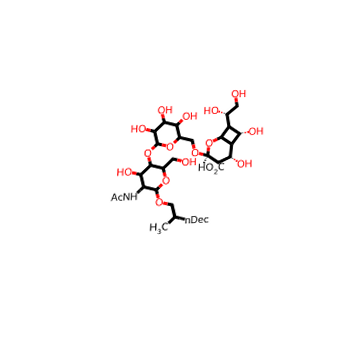 CCCCCCCCCCC(C)COC1OC(CO)C(OC2OC(CO[C@]3(C(=O)O)C[C@@H](O)C4C(O3)C([C@H](O)CO)[C@@H]4O)C(O)C(O)C2O)C(O)C1NC(C)=O